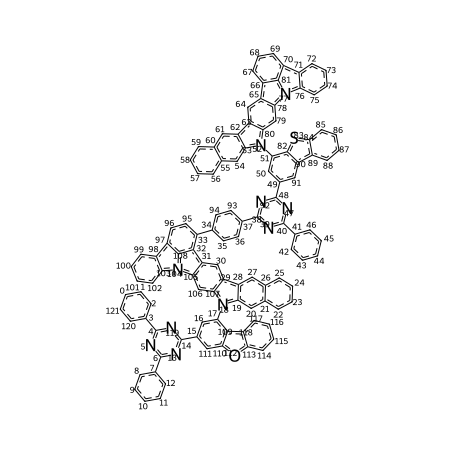 c1ccc(-c2nc(-c3ccccc3)nc(-c3cc(-n4c5cc6ccccc6cc5c5cc6c7c(-c8ccc(-c9nc(-c%10ccccc%10)nc(-c%10cc(-n%11c%12cc%13ccccc%13cc%12c%12cc%13c%14cccc%15c%16ccccc%16n(c%13cc%12%11)c%15%14)c%11sc%12ccccc%12c%11c%10)n9)cc8)ccc8c9ccccc9n(c6cc54)c87)c4c(c3)oc3ccccc34)n2)cc1